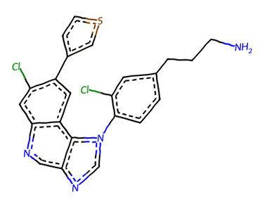 NCCCc1ccc(-n2cnc3cnc4cc(Cl)c(-c5ccsc5)cc4c32)c(Cl)c1